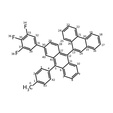 Cc1ccc(-c2c3ccccc3c(-c3cc4ccccc4c4ccccc34)c3ccc(-c4cc(F)c(F)c(F)c4)cc23)cc1